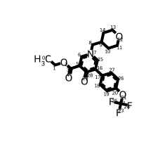 CCOC(=O)c1cn(CC2CCOCC2)cc(-c2ccc(OC(F)(F)F)cc2)c1=O